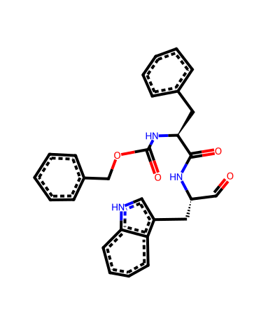 O=C[C@H](Cc1c[nH]c2ccccc12)NC(=O)[C@H](Cc1ccccc1)NC(=O)OCc1ccccc1